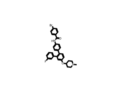 CN1CCC(Oc2ccc(-c3ccc(NC(=O)c4ccc(Br)cc4)cc3)c(-c3cccc(F)c3)c2)CC1